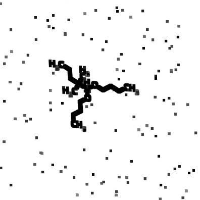 CCCCO[SiH](OCCCC)C(C)(C)CCC